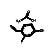 CC(=O)O.O=Cc1ccc(O)cc1I